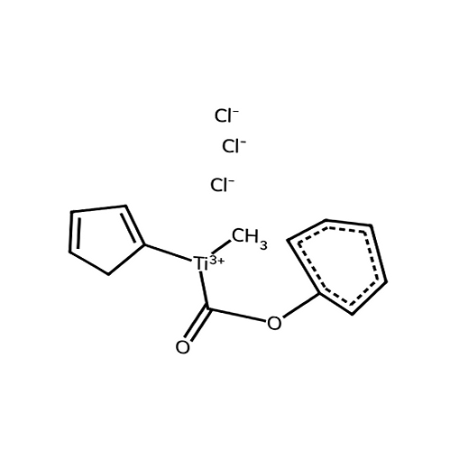 [CH3][Ti+3]([C](=O)Oc1ccccc1)[C]1=CC=CC1.[Cl-].[Cl-].[Cl-]